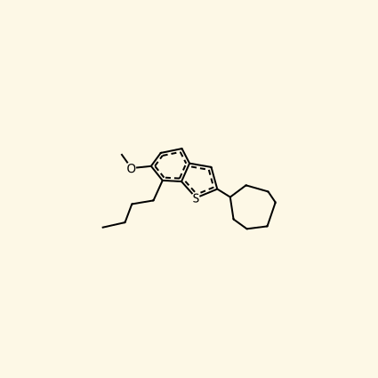 CCCCc1c(OC)ccc2cc(C3CCCCCC3)sc12